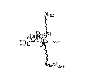 CCCCC/C=C\C/C=C\CCCCCCCC(=O)O[C@H](COC(=O)CCCCCCCCCCCCCCCCC)COP(=O)(O)OC[C@H](N)C(=O)[O-].[Na+]